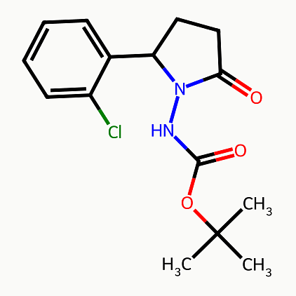 CC(C)(C)OC(=O)NN1C(=O)CCC1c1ccccc1Cl